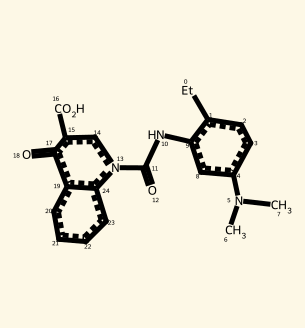 CCc1ccc(N(C)C)cc1NC(=O)n1cc(C(=O)O)c(=O)c2ccccc21